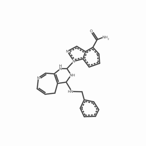 NC(=O)c1cccc2c1cnn2C1NC2=C(CC=CN=C2)C(NCc2ccccc2)N1